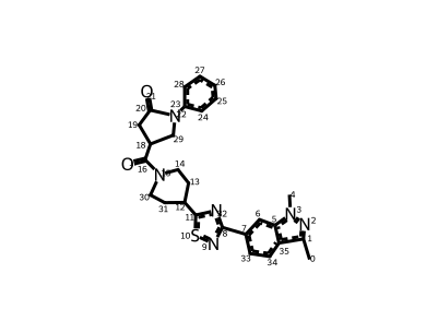 Cc1nn(C)c2cc(-c3nsc(C4CCN(C(=O)C5CC(=O)N(c6ccccc6)C5)CC4)n3)ccc12